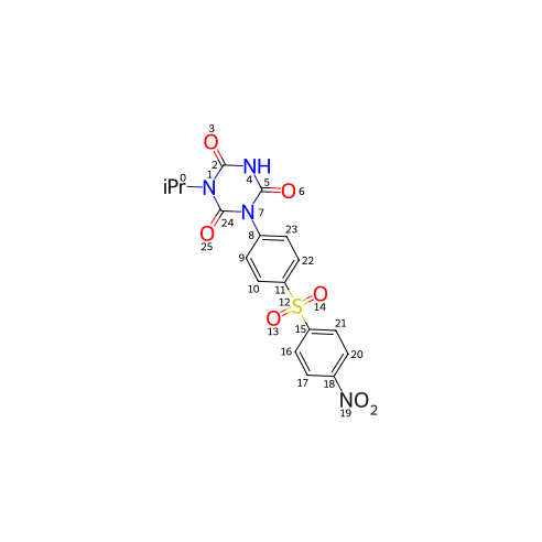 CC(C)n1c(=O)[nH]c(=O)n(-c2ccc(S(=O)(=O)c3ccc([N+](=O)[O-])cc3)cc2)c1=O